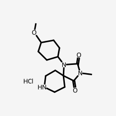 COC1CCC(N2C(=O)N(C)C(=O)C23CCNCC3)CC1.Cl